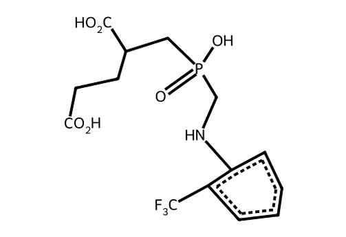 O=C(O)CCC(CP(=O)(O)CNc1ccccc1C(F)(F)F)C(=O)O